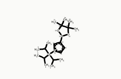 CC(C)[Si](C(C)C)(C(C)C)n1ccc(B2OC(C)(C)C(C)(C)O2)c1